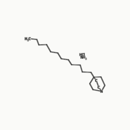 CCCCCCCCCCCCC12CCN(CC1)CC2.Cl.N